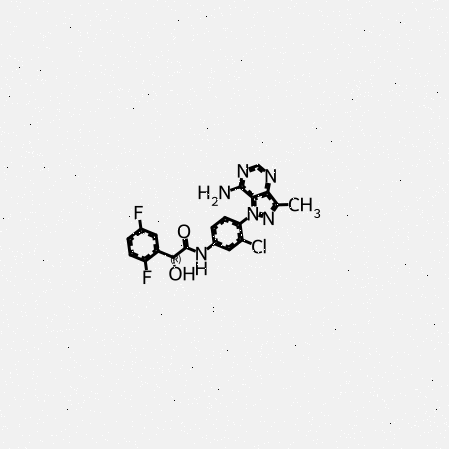 Cc1nn(-c2ccc(NC(=O)[C@H](O)c3cc(F)ccc3F)cc2Cl)c2c(N)ncnc12